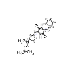 CN(C)CCN(C)c1ccc(/C=c2\[nH]c(=O)/c(=C/c3ccccc3)[nH]c2=O)s1